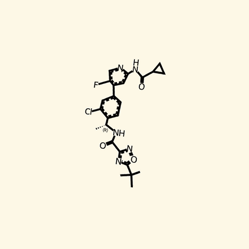 C[C@@H](NC(=O)c1noc(C(C)(C)C)n1)c1ccc(-c2cc(NC(=O)C3CC3)ncc2F)cc1Cl